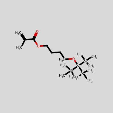 C=C(C)C(=O)OCCC[SiH2]O[Si]([Si](C)(C)C)([Si](C)(C)C)[Si](C)(C)C